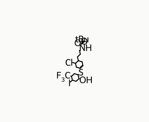 CC(C)(C)OC(=O)NCCCC1CC=C(SC2CC(C(F)(F)F)C(I)CC2O)CC1Cl